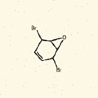 BrC1C=CC(Br)C2OC12